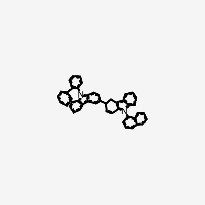 C1=CC(c2ccc3c(c2)c2ccccc2n3-c2ccccc2-c2ccccc2)Cc2c1n(-c1cccc3ccccc13)c1ccccc21